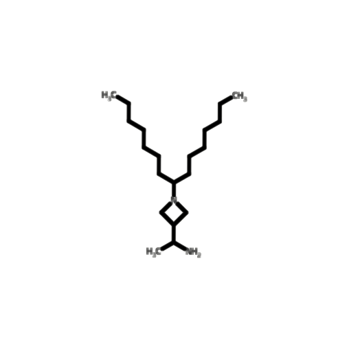 CCCCCCCC(CCCCCCC)N1CC(C(C)N)C1